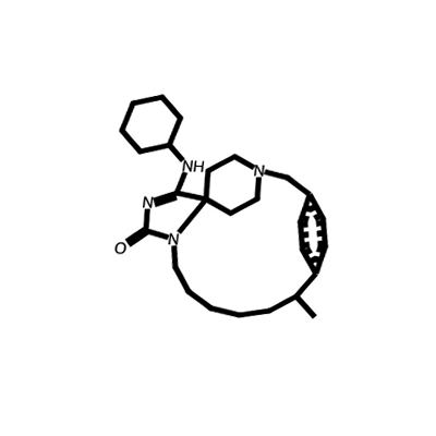 CC1CCCCCN2C(=O)N=C(NC3CCCCC3)C23CCN(CC3)Cc2ccc1cc2